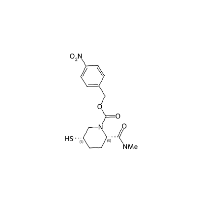 CNC(=O)[C@@H]1CC[C@H](S)CN1C(=O)OCc1ccc([N+](=O)[O-])cc1